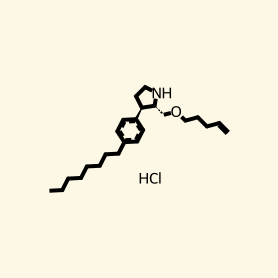 C=CCCCOC[C@H]1NCC[C@@H]1c1ccc(CCCCCCCC)cc1.Cl